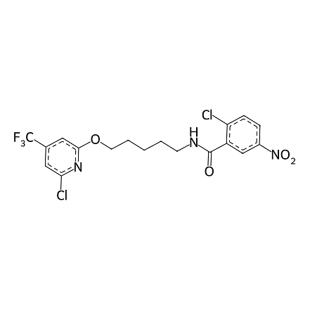 O=C(NCCCCCOc1cc(C(F)(F)F)cc(Cl)n1)c1cc([N+](=O)[O-])ccc1Cl